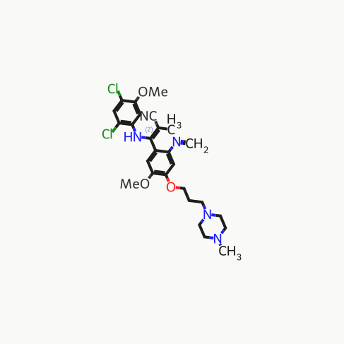 C=Nc1cc(OCCCN2CCN(C)CC2)c(OC)cc1/C(Nc1cc(OC)c(Cl)cc1Cl)=C(\C)C#N